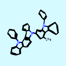 N#Cc1cc(-n2c3ccccc3c3c2ccc2c4ccccc4n(-c4ccccc4)c23)cc2c1c1ccccc1n2-c1ccccc1